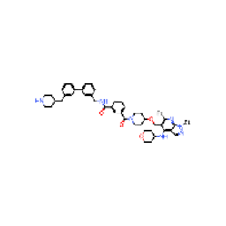 CCc1nc2c(cnn2CC)c(NC2CCOCC2)c1COC1CCN(C(=O)c2cccc(C(=O)NCc3cccc(-c4cccc(CC5CCNCC5)c4)c3)c2)CC1